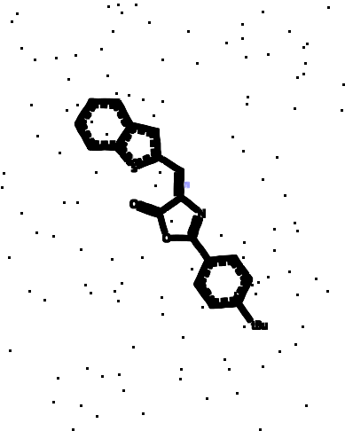 CC(C)(C)c1ccc(C2=N/C(=C/c3cc4ccccc4s3)C(=O)O2)cc1